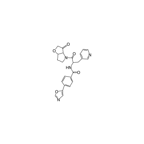 O=C(NC(Cc1cccnc1)C(=O)N1CCC2OCC(=O)C21)c1ccc(-c2cnco2)cc1